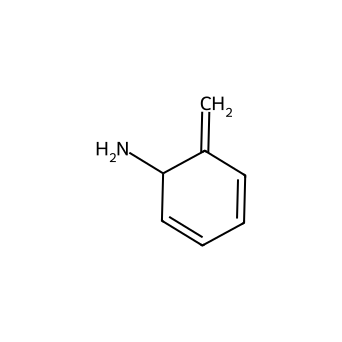 C=C1C=CC=CC1N